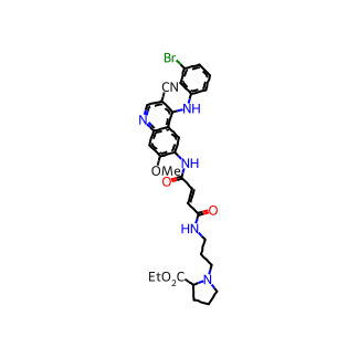 CCOC(=O)C1CCCN1CCCNC(=O)C=CC(=O)Nc1cc2c(Nc3cccc(Br)c3)c(C#N)cnc2cc1OC